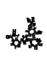 O=C1NCc2c1ccnc2-c1cc(-c2cc(Br)cc(OC(F)(F)F)c2)n(-c2cccnc2)n1